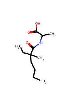 CCCCC(C)(CC)C(=O)NC(C)C(=O)O